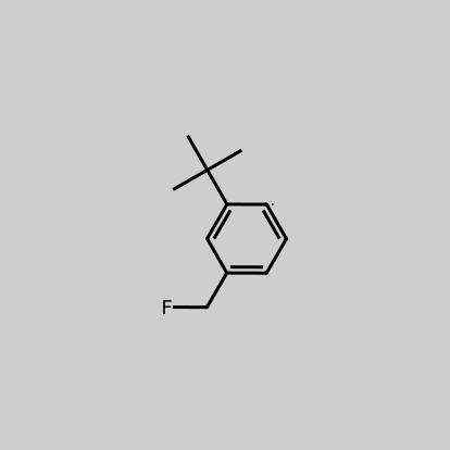 CC(C)(C)c1[c]ccc(CF)c1